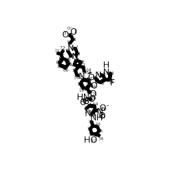 COC(=O)CCN1CCN(C2CC3(CCN(c4ccc(C(=O)NS(=O)(=O)c5cnc(NCC6CCC(C)(O)CC6)c([N+](=O)[O-])c5)c(Oc5cc6c(F)c[nH]c6nc5OC)c4)CC3)C2)[C@H](c2ccccc2C(C)C)C1